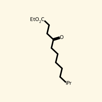 CCOC(=O)CCC(=O)CCCCCC(C)C